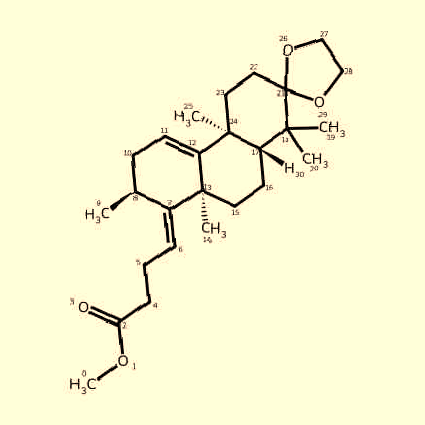 COC(=O)CCC=C1[C@@H](C)CC=C2[C@@]1(C)CC[C@H]1C(C)(C)C3(CC[C@]21C)OCCO3